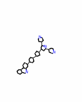 c1ccc2c(c1)cnc1cc(-c3ccc(-c4ccc(-c5cc(-c6ccncc6)nc(-c6ccncc6)c5)cc4)cc3)ccc12